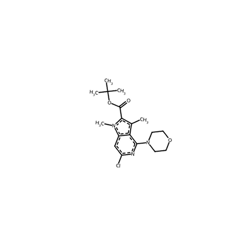 Cc1c(C(=O)OC(C)(C)C)n(C)c2cc(Cl)nc(N3CCOCC3)c12